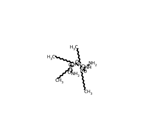 CCCCCCCCCCCCN(CC(=O)N(CCCCCCCCCC)CC(=O)N(CCCCCCCCCCCC)CC(=O)N(CCCCCCCCCC)CC(N)=O)C(=O)CNCCN